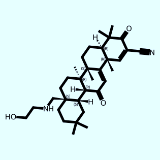 CC1(C)CC[C@]2(CNCCO)CC[C@]3(C)[C@H](C(=O)C=C4[C@@]5(C)C=C(C#N)C(=O)C(C)(C)[C@@H]5CC[C@]43C)[C@@H]2C1